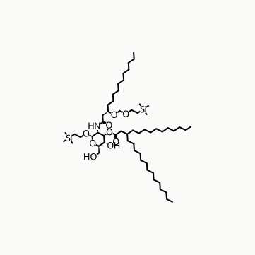 CCCCCCCCCCCCCCC(CCCCCCCCCCC)CC(=O)O[C@H]1[C@H](O)[C@@H](CO)O[C@@H](OCC[Si](C)(C)C)[C@@H]1NC(=O)C[C@@H](CCCCCCCCCCC)OCOCC[Si](C)(C)C